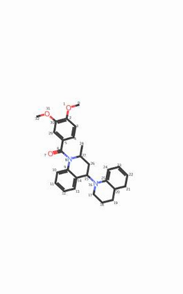 COc1ccc(C(=O)N2c3ccccc3C(N3CCCC4CC=CC=C43)CC2C)cc1OC